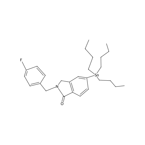 CCC[CH2][Sn]([CH2]CCC)([CH2]CCC)[c]1ccc2c(c1)CN(Cc1ccc(F)cc1)C2=O